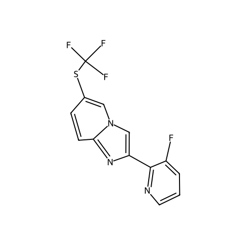 Fc1cccnc1-c1cn2cc(SC(F)(F)F)ccc2n1